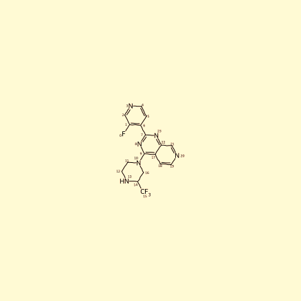 Fc1cnccc1-c1nc(N2CCNC(C(F)(F)F)C2)c2ccncc2n1